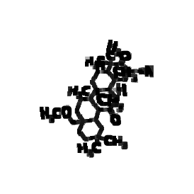 COC[C@]12CCC(C)(C)CC1C1C(=O)C[C@@H]3[C@@]4(C)C=C(C#N)C(=O)C(C)(C)[C@@H]4CC[C@@]3(C)[C@]1(C)CC2